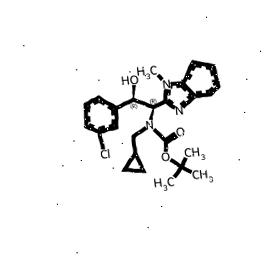 Cn1c([C@H]([C@H](O)c2cccc(Cl)c2)N(CC2CC2)C(=O)OC(C)(C)C)nc2ccccc21